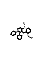 O=C=Nc1ccccc1Cc1c(N=C=O)ccc(-c2ccccc2)c1-c1ccccc1